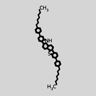 CCCCCCCCc1ccc(-c2ccc3c(c2)[nH]c2c3ccc3c2ccc2c4ccc(-c5ccc(CCCCCCCC)cc5)cc4sc23)cc1